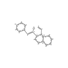 C=Cc1c(C(Cl)=Cc2ccccc2)ccc2ccccc12